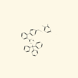 Cc1cc(NCc2ccc(-c3ccccc3-c3nnn(C(c4ccccc4)(c4ccccc4)c4ccccc4)n3)cc2)c(I)c(C)n1